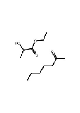 CCCCCC(C)=O.CCOC(=O)C(C)O